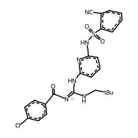 CC(C)(C)CN/C(=N/C(=O)c1ccc(Cl)cc1)Nc1cccc(NS(=O)(=O)c2ccccc2C#N)n1